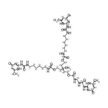 Cc1cc(=O)nc(NC(=O)NCCCCCCNC(=O)OCC[N+](C)(CCOC(=O)NCCCCCCNC(=O)Nc2nc(=O)cc(C)[nH]2)CCOC(=O)NCNC(=O)Nc2nc(=O)cc(C)[nH]2)[nH]1